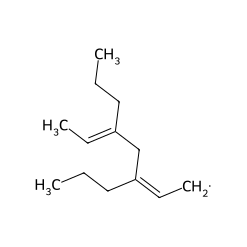 [CH2]C=C(CCC)CC(=CC)CCC